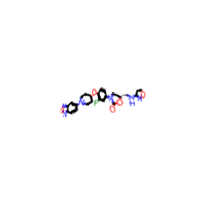 O=C1O[C@@H](CNc2ccon2)CN1c1ccc(OC2CCN(c3ccc4nonc4c3)CC2)c(F)c1